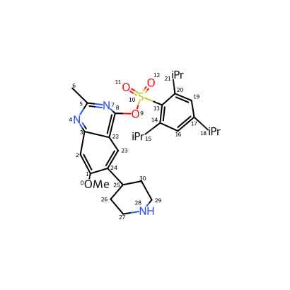 COc1cc2nc(C)nc(OS(=O)(=O)c3c(C(C)C)cc(C(C)C)cc3C(C)C)c2cc1C1CCNCC1